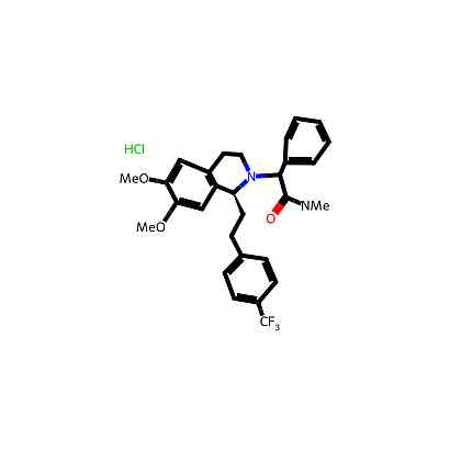 CNC(=O)C(c1ccccc1)N1CCc2cc(OC)c(OC)cc2[C@@H]1CCc1ccc(C(F)(F)F)cc1.Cl